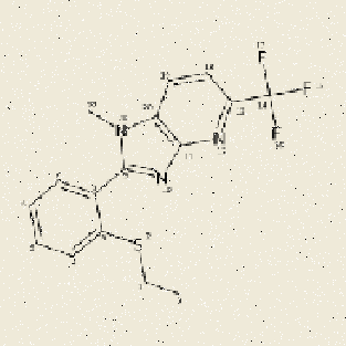 CCSc1ccccc1-c1nc2nc(C(F)(F)F)ccc2n1C